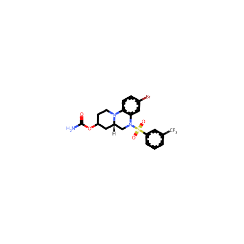 NC(=O)OC1CCN2c3ccc(Br)cc3N(S(=O)(=O)c3cccc(C(F)(F)F)c3)C[C@@H]2C1